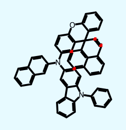 c1ccc(-n2c3ccccc3c3cc(N(c4ccc5c(c4)C4(c6ccccc6O5)c5ccccc5-c5cccc6cccc4c56)c4ccc5ccccc5c4)ccc32)cc1